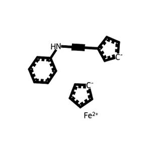 C(#Cc1cc[cH-]c1)Nc1ccccc1.[Fe+2].c1cc[cH-]c1